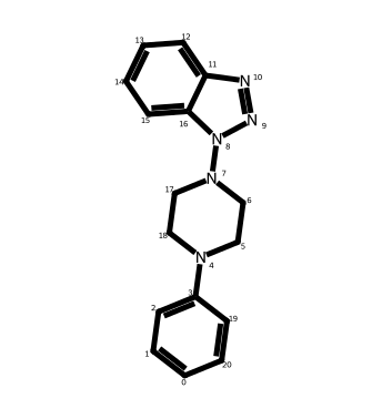 c1ccc(N2CCN(n3nnc4ccccc43)CC2)cc1